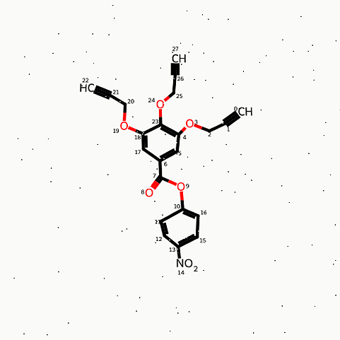 C#CCOc1cc(C(=O)Oc2ccc([N+](=O)[O-])cc2)cc(OCC#C)c1OCC#C